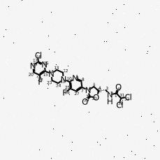 O=C(NC[C@H]1CN(c2cnc(N3CCN(c4nc(Cl)ncc4F)CC3)c(F)c2)C(=O)O1)C(Cl)Cl